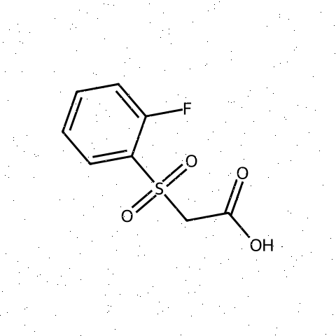 O=C(O)CS(=O)(=O)c1ccccc1F